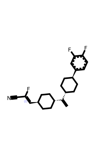 C=C([C@H]1CC[C@H](/C=C(\F)C#N)CC1)[C@H]1CC[C@H](c2ccc(F)c(F)c2)CC1